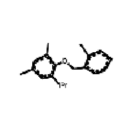 Cc1cc(C)c(OCc2ccccc2C)c(C(C)C)c1